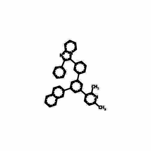 Cc1ccc(-c2cc(-c3cccc(-c4c(-c5ccccc5)nc5ccccn45)c3)cc(-c3ccc4ccccc4c3)c2)c(C)n1